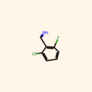 N=Cc1c(F)cccc1Cl